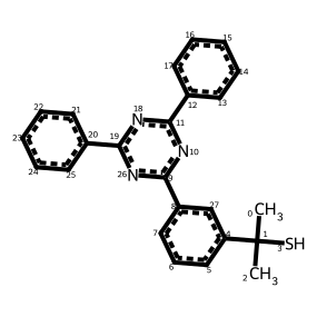 CC(C)(S)c1cccc(-c2nc(-c3ccccc3)nc(-c3ccccc3)n2)c1